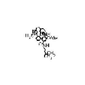 COc1cc(C(=O)NCCCN(C)C)ccc1Nc1ncc2c(n1)-c1c(nn(C)c1-c1ccccc1C)CC2